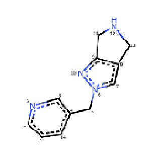 c1cncc(Cn2cc3c(n2)CNC3)c1